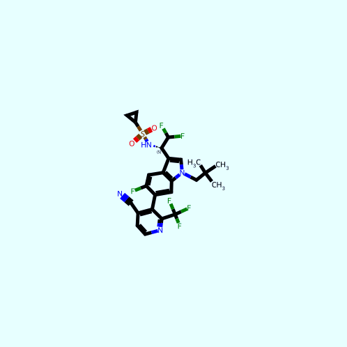 CC(C)(C)Cn1cc([C@H](NS(=O)(=O)C2CC2)C(F)F)c2cc(F)c(-c3c(C#N)ccnc3C(F)(F)F)cc21